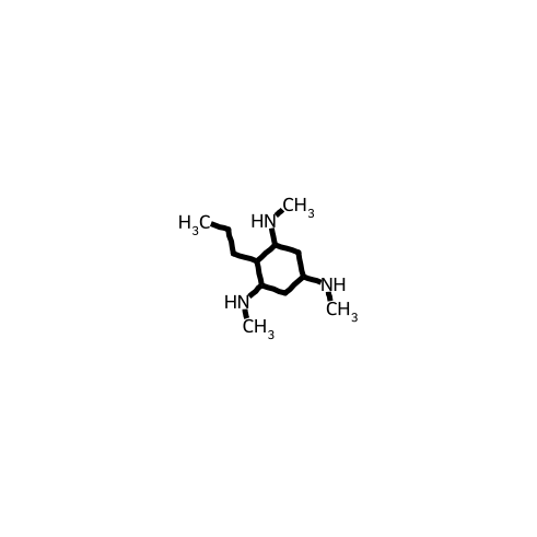 CCCC1C(NC)CC(NC)CC1NC